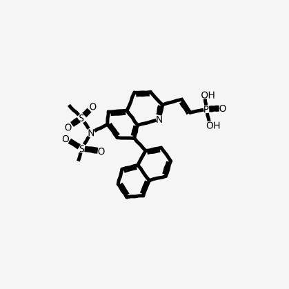 CS(=O)(=O)N(c1cc(-c2cccc3ccccc23)c2nc(C=CP(=O)(O)O)ccc2c1)S(C)(=O)=O